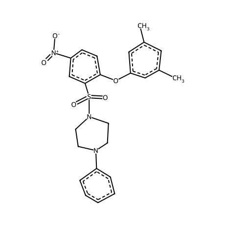 Cc1cc(C)cc(Oc2ccc([N+](=O)[O-])cc2S(=O)(=O)N2CCN(c3ccccc3)CC2)c1